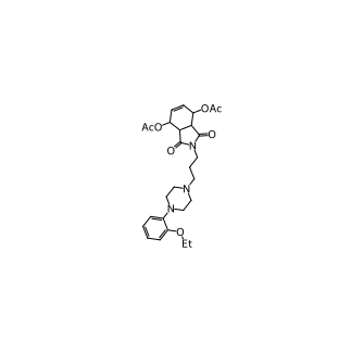 CCOc1ccccc1N1CCN(CCCN2C(=O)C3C(OC(C)=O)C=CC(OC(C)=O)C3C2=O)CC1